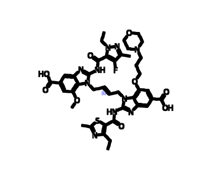 CCc1nc(C)sc1C(=O)Nc1nc2cc(C(=O)O)cc(OCCCN3CCOCC3)c2n1C/C=C/Cn1c(NC(=O)c2c(F)c(C)nn2CC)nc2cc(C(=O)O)cc(OC)c21